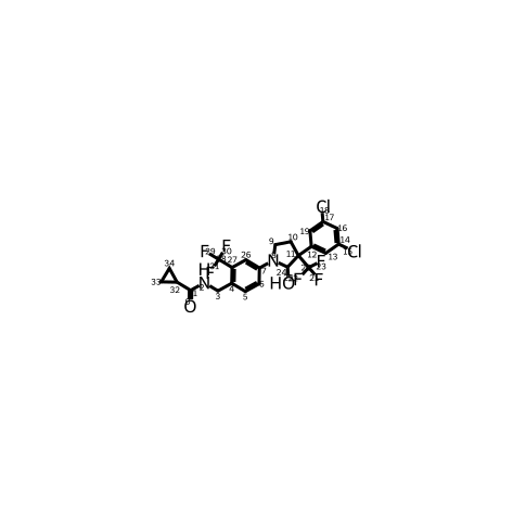 O=C(NCc1ccc(N2CCC(c3cc(Cl)cc(Cl)c3)(C(F)(F)F)C2O)cc1C(F)(F)F)C1CC1